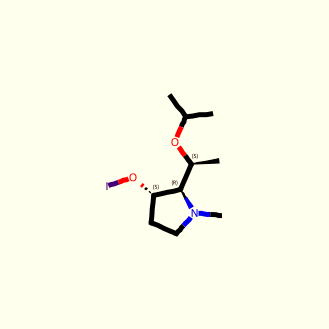 CC(C)O[C@@H](C)[C@@H]1[C@@H](OI)CCN1C